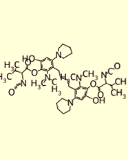 CC(C)[C@H](N=C=O)C(=O)Oc1c(O)cc(N2CCCCC2)c(CCCCc2c(N3CCCCC3)cc(O)c(OC(=O)[C@@H](N=C=O)C(C)C)c2N(C)C)c1N(C)C